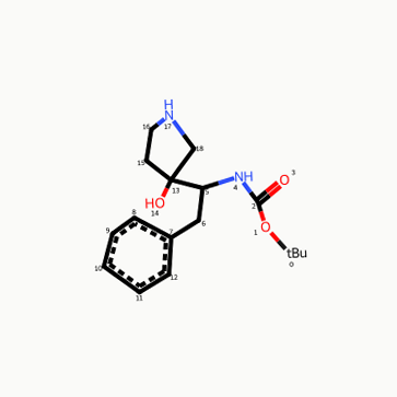 CC(C)(C)OC(=O)NC(Cc1ccccc1)C1(O)CCNC1